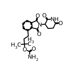 CC(C)(CCc1cccc2c1C(=O)N(C1CCC(=O)NC1=O)C2=O)OC(N)=O